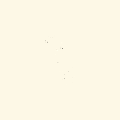 O=C(CCn1ncc2ccncc21)c1ccc2c(c1)OCCO2